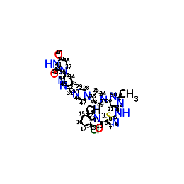 Cc1nc(Nc2ncc(C(=O)Nc3c(C)cccc3Cl)s2)cc(N2CCC(N3CCN(Cc4ccc(N5CCC(=O)NC5=O)nn4)CC3)CC2)n1